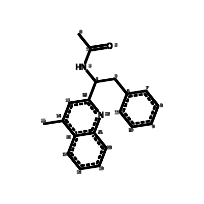 CC(=O)NC(Cc1ccccc1)c1cc(C)c2ccccc2n1